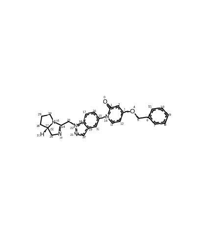 O=c1cc(OCc2ccccc2)ccn1-c1ccc2c(cnn2CC2=NC[C@@H]3CCCN23)c1